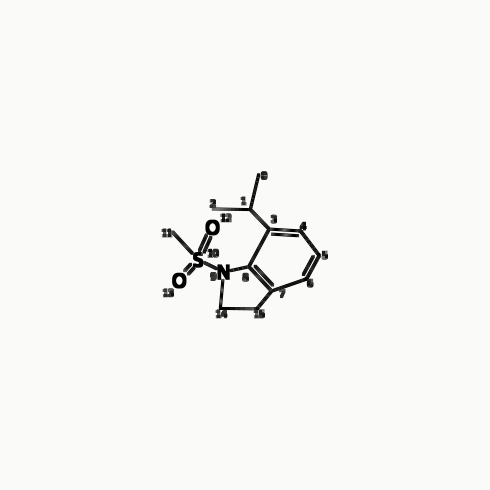 CC(C)c1cccc2c1N(S(C)(=O)=O)CC2